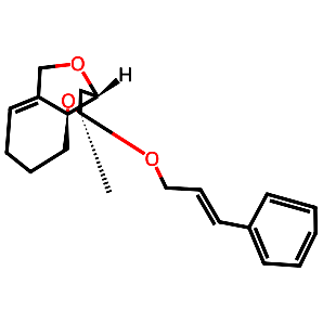 C[C@@]1(OC/C=C/c2ccccc2)C[C@@H]2OCC3=CCCC[C@]32O1